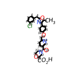 Cc1oc(Cc2cccc(Cl)c2)nc1-c1ccc(OCc2ccc(C(=O)N3CCO[C@@H](C(=O)O)C3)cn2)cc1